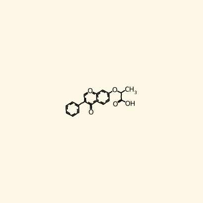 CC(Oc1ccc2c(=O)c(-c3ccccc3)coc2c1)C(=O)O